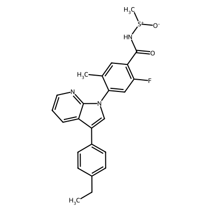 CCc1ccc(-c2cn(-c3cc(F)c(C(=O)N[S+](C)[O-])cc3C)c3ncccc23)cc1